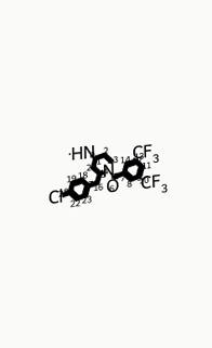 [NH]C1CCN(C(=O)c2cc(C(F)(F)F)cc(C(F)(F)F)c2)C(Cc2ccc(Cl)cc2)C1